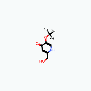 [2H]C([2H])([2H])Oc1c[nH]c(CO)cc1=O